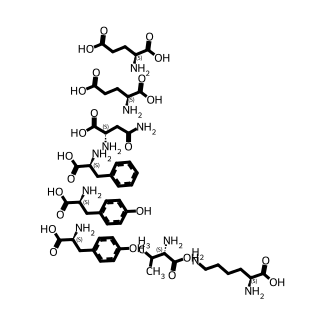 CC(C)[C@H](N)C(=O)O.NC(=O)C[C@H](N)C(=O)O.NCCCC[C@H](N)C(=O)O.N[C@@H](CCC(=O)O)C(=O)O.N[C@@H](CCC(=O)O)C(=O)O.N[C@@H](Cc1ccc(O)cc1)C(=O)O.N[C@@H](Cc1ccc(O)cc1)C(=O)O.N[C@@H](Cc1ccccc1)C(=O)O